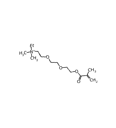 C=C(C)C(=O)OCCOCCOCC[N+](C)(C)CC